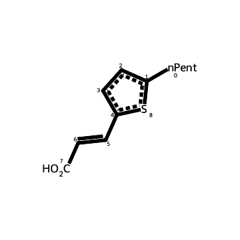 CCCCCc1ccc(C=CC(=O)O)s1